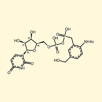 CC(=O)Nc1ccc(CO)cc1CP(=O)(O)OP(=O)(O)OC[C@H]1O[C@@H](n2ccc(=O)[nH]c2=O)[C@@H](O)[C@H]1O